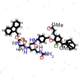 COC(=O)/C=C/c1ccc(C(OC)=C2C3CC4CC(C3)CC2C4)c(Cl)c1OCc1ccc(NC(=O)C[C@@H](CCCNC(N)=O)NC(=O)[C@@H](NC(=O)OCC2c3ccccc3-c3ccccc32)C(C)C)cc1